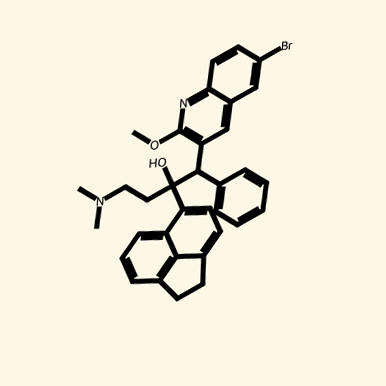 COc1nc2ccc(Br)cc2cc1C(c1ccccc1)C(O)(CCN(C)C)c1ccc2c3c(cccc13)CC2